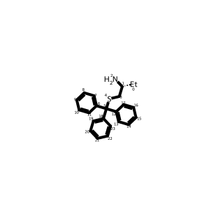 CC[C@@H](N)CSC(c1ccccc1)(c1ccccc1)c1ccccc1